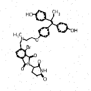 CCC(=C(c1ccc(O)cc1)c1ccc(OCCN(C)Cc2ccc3c(c2Br)C(=O)N(C2CCC(=O)NC2=O)C3=O)cc1)c1ccc(O)cc1